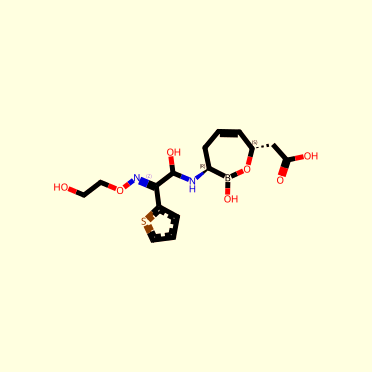 O=C(O)C[C@H]1C=CC[C@H](NC(O)/C(=N/OCCO)c2cccs2)B(O)O1